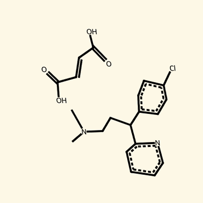 CN(C)CCC(c1ccc(Cl)cc1)c1ccccn1.O=C(O)C=CC(=O)O